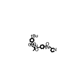 Cc1oc(-c2ccc(C(=O)NCc3cccnc3)cc2)nc1CS(=O)(=O)c1ccc(C(C)(C)C)cc1